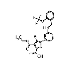 CCOC(=O)c1c(C(=O)O)sc(-c2cccc(NCc3ccccc3OC(F)(F)F)c2)c1Br